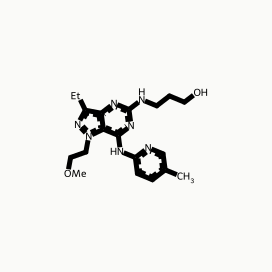 CCc1nn(CCOC)c2c(Nc3ccc(C)cn3)nc(NCCCO)nc12